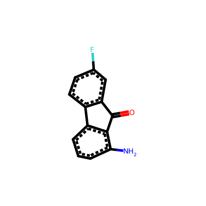 Nc1cccc2c1C(=O)c1cc(F)ccc1-2